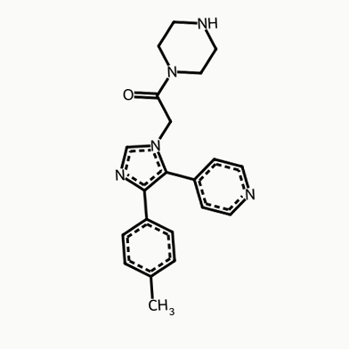 Cc1ccc(-c2ncn(CC(=O)N3CCNCC3)c2-c2ccncc2)cc1